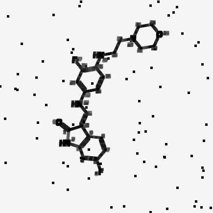 O=C1Nc2cc(F)ccc2C1=CNc1ccc(NCCN2CCOCC2)c(F)c1